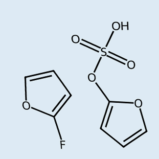 Fc1ccco1.O=S(=O)(O)Oc1ccco1